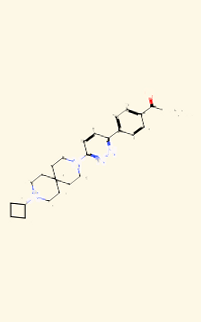 COC(=O)c1ccc(-c2ccc(N3CCC4(CC3)CCN(C3CCC3)CC4)nn2)cc1